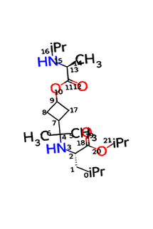 CC(C)C[C@H](NC(C)(C)C1CC(OC(=O)[C@H](C)NC(C)C)C1)C(=O)OC(C)C